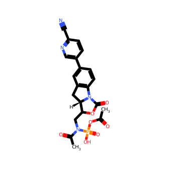 CC(=O)OP(=O)(O)N(CC1OC(=O)N2c3ccc(-c4ccc(C#N)nc4)cc3C[C@@H]12)C(C)=O